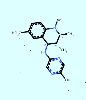 CC(=O)N1c2ccc(C(=O)O)cc2[C@H](Nc2cnc(C#N)cn2)[C@@H](C)[C@@H]1C